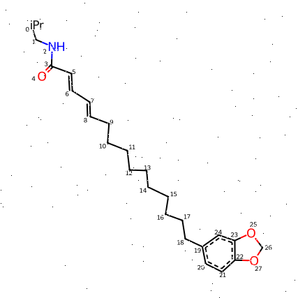 CC(C)CNC(=O)/C=C/C=C/CCCCCCCCCCc1ccc2c(c1)OCO2